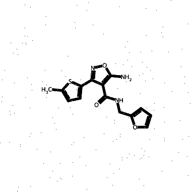 Cc1ccc(-c2noc(N)c2C(=O)NCc2ccco2)s1